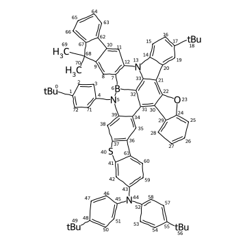 CC(C)(C)c1ccc(N2B3c4cc5c(cc4-n4c6ccc(C(C)(C)C)cc6c6c7oc8ccccc8c7c(c3c64)-c3cc4c(cc32)sc2cc(N(c3ccc(C(C)(C)C)cc3)c3ccc(C(C)(C)C)cc3)ccc24)-c2ccccc2C5(C)C)cc1